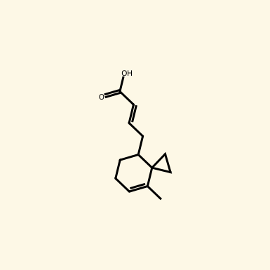 CC1=CCCC(CC=CC(=O)O)C12CC2